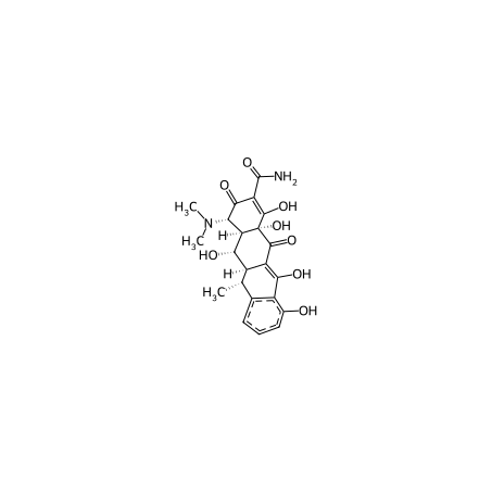 C[C@H]1c2cccc(O)c2C(O)=C2C(=O)[C@]3(O)C(O)=C(C(N)=O)C(=O)[C@@H](N(C)C)[C@@H]3[C@@H](O)[C@@H]21